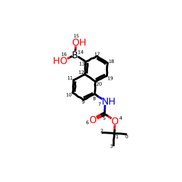 CC(C)(C)OC(=O)Nc1cccc2c(B(O)O)cccc12